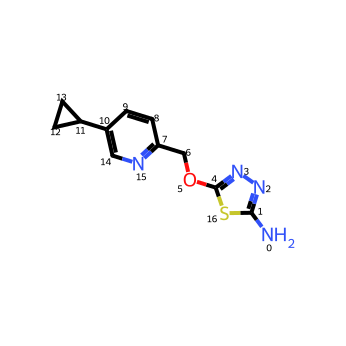 Nc1nnc(OCc2ccc(C3CC3)cn2)s1